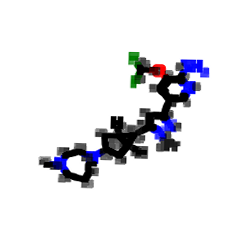 CC(C)n1nc(-c2cnc(N)c(OC(F)F)c2)cc1[C@H]1[C@@H]2C[C@@H](N3CCCN(C)CC3)C[C@@H]21